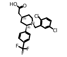 O=C(O)C[C@H]1CCN(Cc2cc(Cl)ccc2Cl)[C@@H](c2ccc(C(F)(F)F)cc2)C1